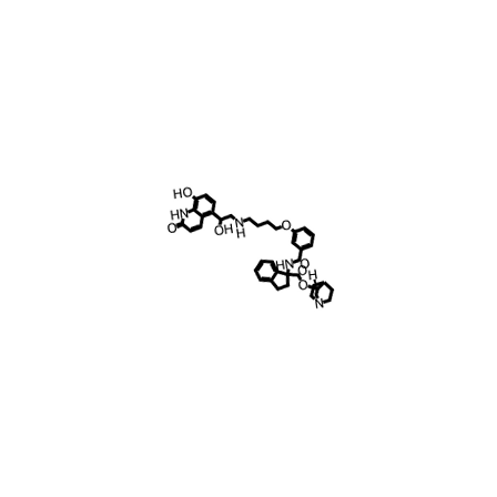 O=C(NC1(C(=O)O[C@H]2CN3CCC2CC3)CCc2ccccc21)c1cccc(OCCCCNCC(O)c2ccc(O)c3[nH]c(=O)ccc23)c1